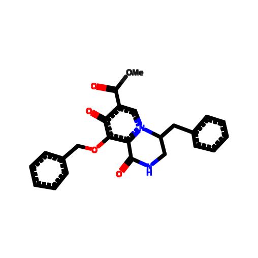 COC(=O)c1cn2c(c(OCc3ccccc3)c1=O)C(=O)NCC2Cc1ccccc1